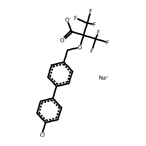 O=C([O-])C(OCc1ccc(-c2ccc(Cl)cc2)cc1)(C(F)(F)F)C(F)(F)F.[Na+]